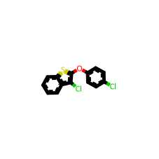 Clc1ccc(Oc2sc3ccccc3c2Cl)cc1